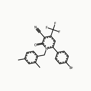 Cc1ccc(Cn2c(-c3ccc(Br)cc3)cc(C(F)(F)F)c(C#N)c2=O)c(C)c1